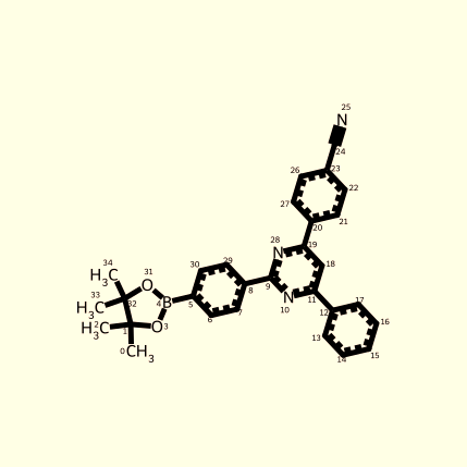 CC1(C)OB(c2ccc(-c3nc(-c4ccccc4)cc(-c4ccc(C#N)cc4)n3)cc2)OC1(C)C